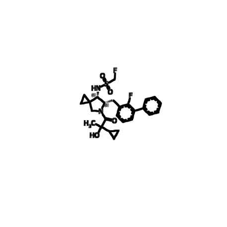 CC(O)(C(=O)N1CC2(CC2)[C@H](NS(=O)(=O)CF)[C@@H]1Cc1cccc(-c2ccccc2)c1F)C1CC1